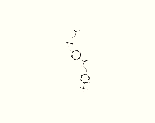 NC(=O)CCS(=O)(=O)Nc1ccc(C(=O)NCc2ccc(C(F)(F)F)nc2)cc1